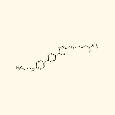 C=CCOc1ccc(-c2ccc(-c3ccc(C=CCCCC(C)F)cn3)cc2)cc1